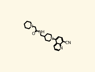 N#Cc1ccc(N2CCC(CNC(=O)CN3CCCCC3)CC2)c2cccnc12